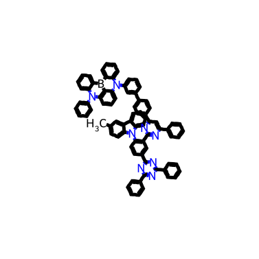 Cc1ccc2c(c1)c1ccccc1n2-c1ccc(-c2nc(-c3ccccc3)nc(-c3ccccc3)n2)cc1-c1nc(-c2ccccc2)cc(-c2ccc(-c3cccc(N4c5ccccc5B5c6ccccc6N(c6ccccc6)c6cccc4c65)c3)cc2)n1